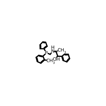 Cc1ccccc1P(CN[C@@H](C)C(O)c1ccccc1)c1ccccc1